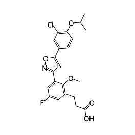 COc1c(CCC(=O)O)cc(F)cc1-c1noc(-c2ccc(OC(C)C)c(Cl)c2)n1